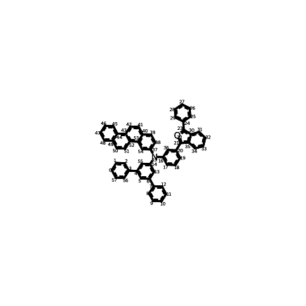 c1ccc(-c2cc(-c3ccccc3)cc(N(c3cccc(-c4oc(-c5ccccc5)c5ccccc45)c3)c3ccc4ccc5c6ccccc6ccc5c4c3)c2)cc1